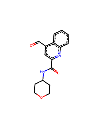 O=Cc1cc(C(=O)NC2CCOCC2)nc2ccccc12